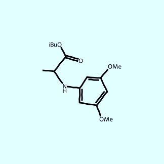 COc1cc(NC(C)C(=O)OCC(C)C)cc(OC)c1